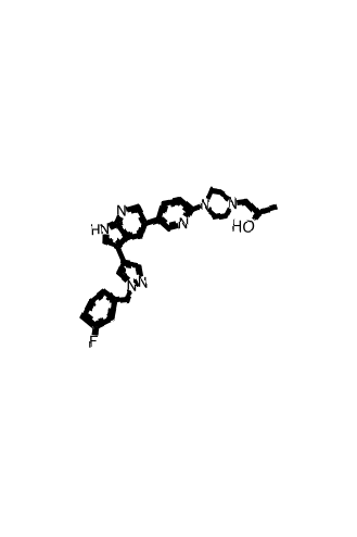 CC(O)CN1CCN(c2ccc(-c3cnc4[nH]cc(-c5cnn(Cc6cccc(F)c6)c5)c4c3)cn2)CC1